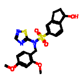 COc1ccc(CN(c2ncns2)S(=O)(=O)c2ccc3c(c2)CCC3O)c(OC)c1